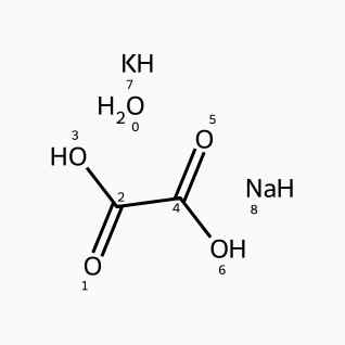 O.O=C(O)C(=O)O.[KH].[NaH]